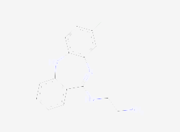 NCCNC1=Nc2cc(Cl)ccc2Nc2ccccc21